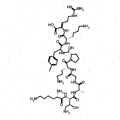 C[C@H](NC(=O)[C@@H](NC(=O)[C@@H](N)CCCCN)[C@@H](O)CN)C(=O)NCC(=O)N[C@H](CCCN)C(=O)N1CCC[C@H]1C(O)NC(Cc1ccc(I)cc1)C(=O)N[C@@H](CCCCN)C(=O)N/C(=C\CCNC(=N)N)C(=O)O